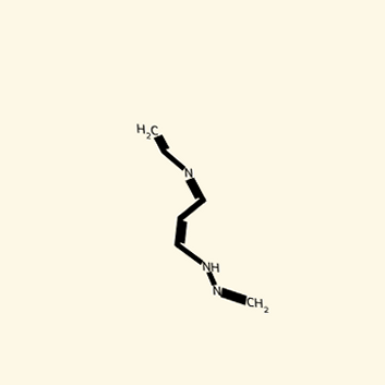 C=C/N=C\C=C/NN=C